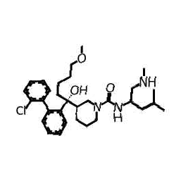 CNCC(CC(C)C)NC(=O)N1CCC[C@@H]([C@](O)(CCCCOC)c2ccccc2-c2ccccc2Cl)C1